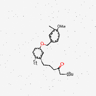 CCc1ccc(OCc2ccc(OC)c(C)c2)cc1CCCC(=O)CC(C)(C)C